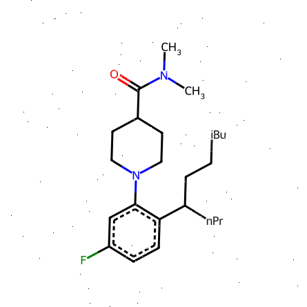 CCCC(CCC(C)CC)c1ccc(F)cc1N1CCC(C(=O)N(C)C)CC1